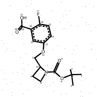 CC(C)(C)OC(=O)N1CCC1COc1ccc(F)c(C(=O)O)c1